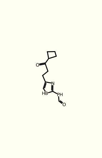 O=CPC1=NC(CCC(=O)C2CCC2)=CB1